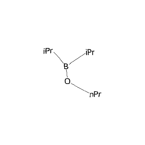 CCCOB(C(C)C)C(C)C